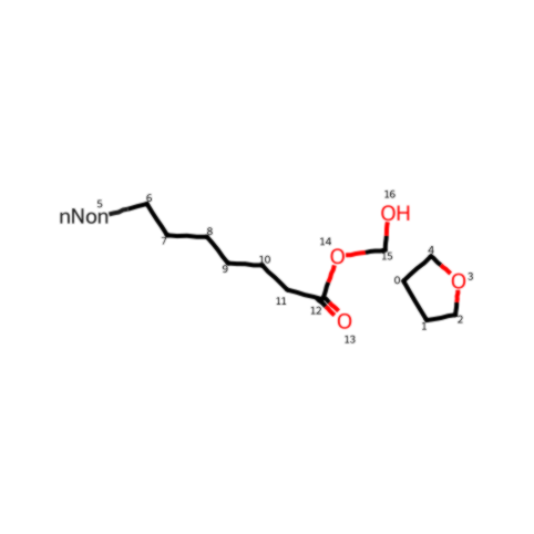 C1CCOC1.CCCCCCCCCCCCCCCC(=O)OCO